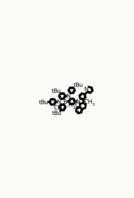 Cc1cc(C(C)(C)C)ccc1N1c2cc(C(C)(C)C)ccc2B2c3ccc(N4c5ccc(-c6ccccn6)cc5C5(C)CCc6ccccc6C45C)cc3N(c3ccc(C(C)(C)C)cc3)c3cc(C(C)(C)C)cc1c32